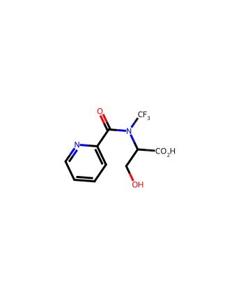 O=C(O)C(CO)N(C(=O)c1ccccn1)C(F)(F)F